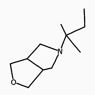 CCC(C)(C)N1CC2COCC2C1